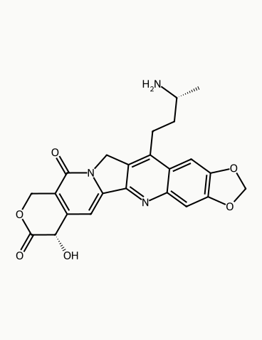 C[C@@H](N)CCc1c2c(nc3cc4c(cc13)OCO4)-c1cc3c(c(=O)n1C2)COC(=O)[C@H]3O